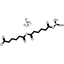 N.N.O=C([O-])CCCCC(=O)OC(=O)CCCCC(=O)OB(O)O.[K+]